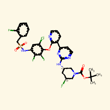 CC(C)(C)OC(=O)N1C[C@@H](F)C[C@H](Nc2nccc(-c3cccnc3Oc3c(Cl)cc(NS(=O)(=O)Cc4ccccc4F)c(F)c3F)n2)C1